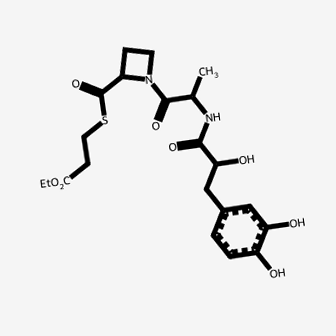 CCOC(=O)CCSC(=O)C1CCN1C(=O)C(C)NC(=O)C(O)Cc1ccc(O)c(O)c1